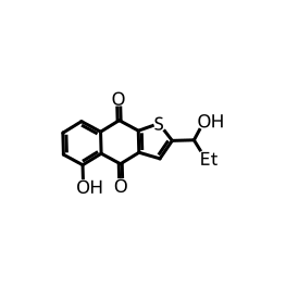 CCC(O)c1cc2c(s1)C(=O)c1cccc(O)c1C2=O